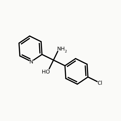 NC(O)(c1ccc(Cl)cc1)c1ccccn1